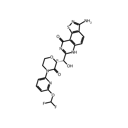 Nc1nsc2c1ccc1[nH]c(C(O)[C@H]3OCCN(c4cccc(OC(F)F)n4)C3=O)nc(=O)c12